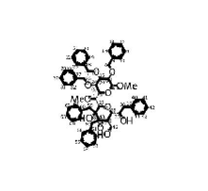 COC([C@H]1O[C@H](OC)[C@H](OCc2ccccc2)[C@@H](OCc2ccccc2)[C@@H]1OCc1ccccc1)[C@@H]1O[C@H](C(O)Cc2ccccc2)[C@@H](CO)[C@@](O)(Cc2ccccc2)[C@]1(O)Cc1ccccc1